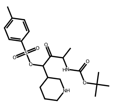 Cc1ccc(S(=O)(=O)OC(C(=O)C(C)NC(=O)OC(C)(C)C)C2CCCNC2)cc1